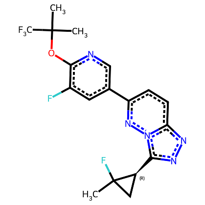 CC1(F)C[C@@H]1c1nnc2ccc(-c3cnc(OC(C)(C)C(F)(F)F)c(F)c3)nn12